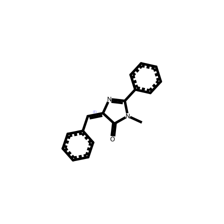 CN1C(=O)/C(=C\c2ccccc2)N=C1c1ccccc1